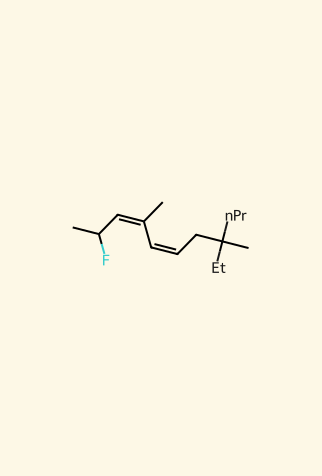 CCCC(C)(CC)C/C=C\C(C)=C/C(C)F